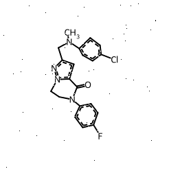 CN(Cc1cc2n(n1)CCN(c1ccc(F)cc1)C2=O)c1ccc(Cl)cc1